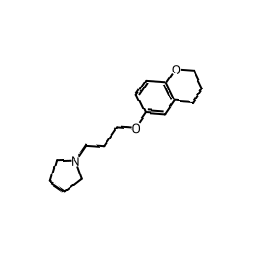 c1cc2c(cc1OCCCN1CCCC1)CCCO2